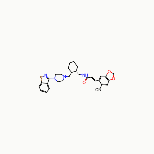 O=Nc1cc2c(cc1/C=C/C(=O)NC[C@H]1CCCC[C@@H]1CN1CCN(c3nsc4ccccc34)CC1)OCO2